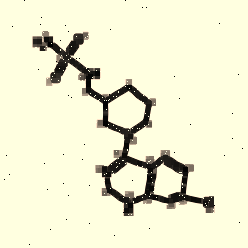 NS(=O)(=O)NCC1CCCN(C2=NCNc3cc(Cl)ccc32)C1